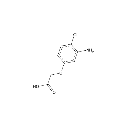 Nc1cc(OCC(=O)O)ccc1Cl